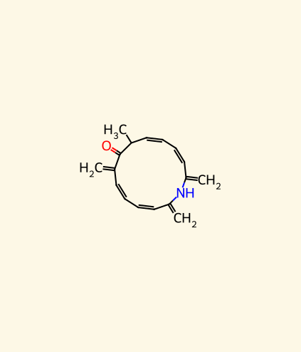 C=C1/C=C\C=C/C(=C)C(=O)C(C)/C=C\C=C/C(=C)N1